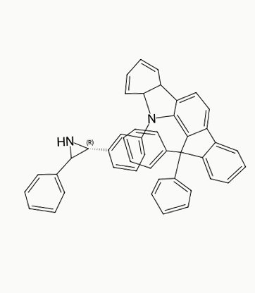 C1=CC2c3ccc4c(c3N(c3cccc([C@H]5NC5c5ccccc5)c3)C2C=C1)C(c1ccccc1)(c1ccccc1)c1ccccc1-4